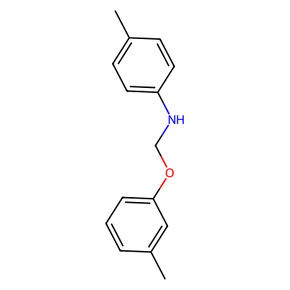 Cc1ccc(NCOc2cccc(C)c2)cc1